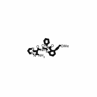 COCC#Cc1cccc2nc([C@@H](C)NC(=O)c3c(N)nn4cccnc34)n(-c3ccccc3)c(=O)c12